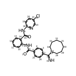 N=C(c1ccc(C(=O)Nc2ccccc2C(=O)Nc2ccc(Cl)cn2)cc1)N1CCCCCCC1